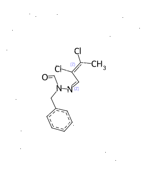 C/C(Cl)=C(Cl)\C=N/N(C=O)Cc1ccccc1